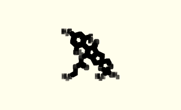 CCOC(=O)OC1=C(c2c(C)cc(C)cc2C)C(=O)C2CC3(COC(C)(C)O3)CC12